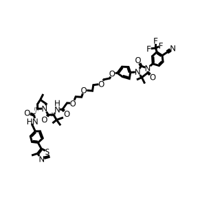 Cc1ncsc1-c1ccc(CNC(=O)[C@@H]2CC(C)CN2C(=O)[C@@H](NC(=O)COCCOCCOCCOc2ccc(N3C(=O)N(c4ccc(C#N)c(C(F)(F)F)c4)C(=O)C3(C)C)cc2)C(C)(C)C)cc1